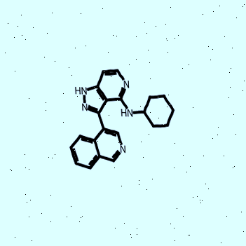 c1ccc2c(-c3n[nH]c4ccnc(NC5CCCCC5)c34)cncc2c1